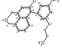 Nc1nc(SCCC(F)(F)F)nc(-c2c(Cl)cc3c4c(cccc24)COC3)n1